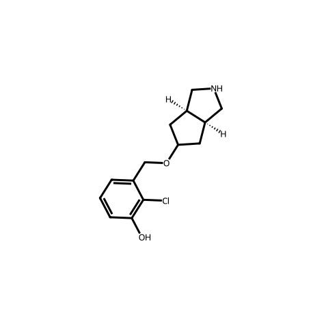 Oc1cccc(COC2C[C@H]3CNC[C@H]3C2)c1Cl